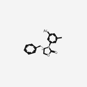 CC(=O)c1cc(C)cc(N2C(=O)OC[C@@H]2Cc2ccccc2)c1